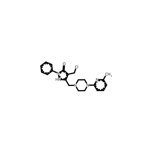 Cc1cccc(N2CCN(Cc3[nH]n(-c4ccccc4)c(=O)c3CCl)CC2)n1